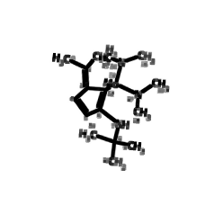 CC(C)=C1C=CC(NC(C)(C)C)=[C]1[Mo]([N](C)C)[N](C)C